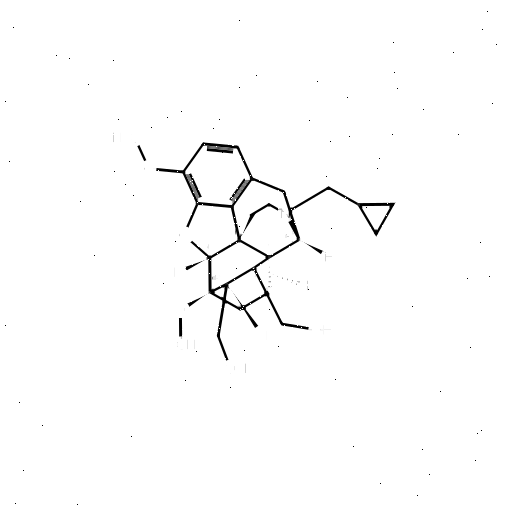 COc1ccc2c3c1O[C@H]1[C@@]4(OC)CC[C@@]5([C@@H](CO)[C@@H]4CO)[C@@H](C2)N(CC2CC2)CC[C@]315